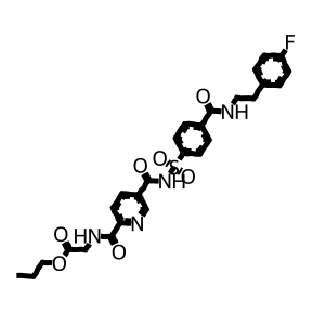 CCCOC(=O)CNC(=O)c1ccc(C(=O)NS(=O)(=O)c2ccc(C(=O)NCCc3ccc(F)cc3)cc2)cn1